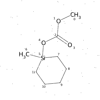 COC(=O)O[Si]1(C)CCCCC1